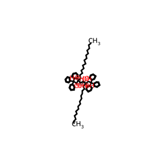 CCCCCCCCCCCCCCCC[C@@](O)(C(O)C(c1ccccc1)(c1ccccc1)c1ccccc1)[C@@H](O)[C@H](O)[C@@](O)(CCCCCCCCCCCCCCCC)C(O)C(c1ccccc1)(c1ccccc1)c1ccccc1